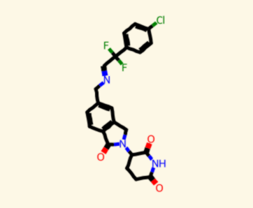 O=C1CCC(N2Cc3cc(C/N=C/C(F)(F)c4ccc(Cl)cc4)ccc3C2=O)C(=O)N1